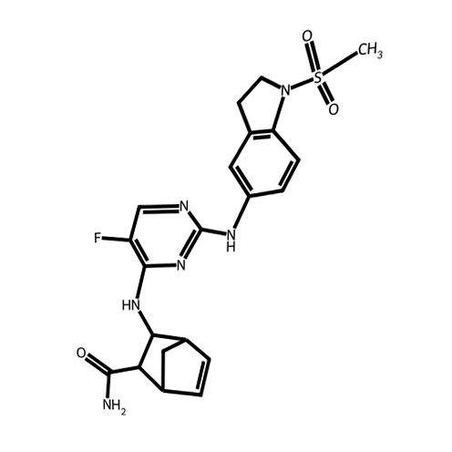 CS(=O)(=O)N1CCc2cc(Nc3ncc(F)c(NC4C5C=CC(C5)C4C(N)=O)n3)ccc21